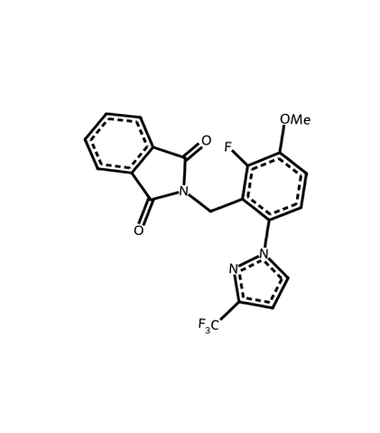 COc1ccc(-n2ccc(C(F)(F)F)n2)c(CN2C(=O)c3ccccc3C2=O)c1F